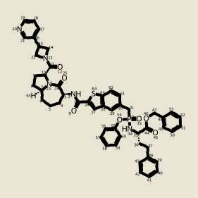 O=C(N[C@H]1CCC[C@H]2CC[C@@H](C(=O)N3CC(c4cccnc4)C3)N2C1=O)c1cc2cc(CP(=O)(N[C@@H](CCc3ccccc3)C(=O)OCc3ccccc3)Oc3ccccc3)ccc2s1